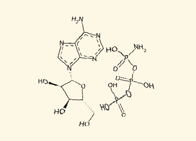 NP(=O)(O)OP(=O)(O)OP(=O)(O)O.Nc1ncnc2c1ncn2[C@@H]1O[C@H](CO)[C@@H](O)[C@H]1O